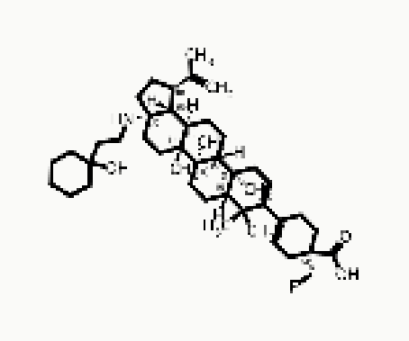 C=C(C)[C@@H]1CC[C@]2(NCCC3(O)CCCCC3)CC[C@]3(C)[C@H](CC[C@@H]4[C@@]5(C)CC=C(C6=CC[C@](CF)(C(=O)O)CC6)C(C)(C)[C@@H]5CC[C@]43C)[C@@H]12